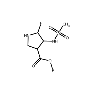 CS(=O)(=O)NC1C(F)NCC1C(=O)OF